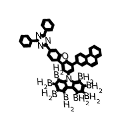 Bc1c(B)c(B)c2c(c1B)c1c(B)c(B)c(B)c(B)c1n2-c1cc(-c2ccc3c(ccc4ccccc43)c2)c2oc3cc(-c4nc(-c5ccccc5)nc(-c5ccccc5)n4)ccc3c2c1